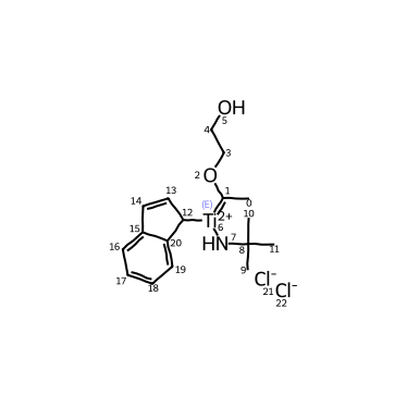 C/[C](OCCO)=[Ti+2](\[NH]C(C)(C)C)[CH]1C=Cc2ccccc21.[Cl-].[Cl-]